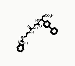 O=C(O)CC(NC(=O)CNC(=O)NCCNc1nc2ccccc2[nH]1)c1ccc(-c2ccccc2)cc1